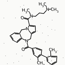 Cc1ccccc1-c1ccc(C(=O)N2Cc3ccc(C(=O)N(C)CCCN(C)C)n3Cc3ccccc32)cc1C